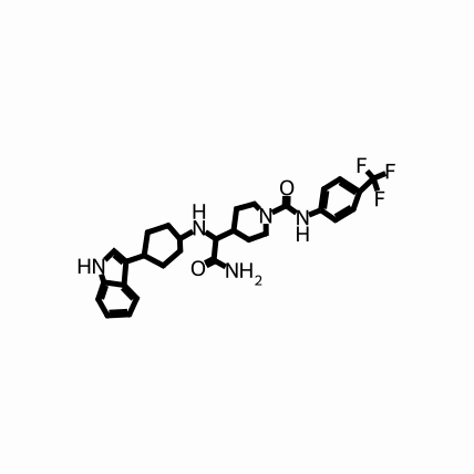 NC(=O)C(NC1CCC(c2c[nH]c3ccccc23)CC1)C1CCN(C(=O)Nc2ccc(C(F)(F)F)cc2)CC1